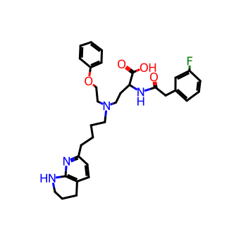 O=C(Cc1cccc(F)c1)NC(CCN(CCCCc1ccc2c(n1)NCCC2)CCOc1ccccc1)C(=O)O